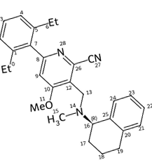 CCc1cccc(CC)c1-c1cc(OC)c(CN(C)[C@@H]2CCCc3ccccc32)c(C#N)n1